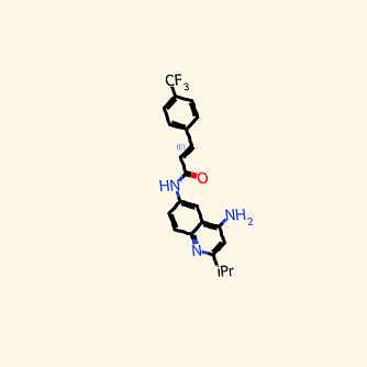 CC(C)c1cc(N)c2cc(NC(=O)/C=C/c3ccc(C(F)(F)F)cc3)ccc2n1